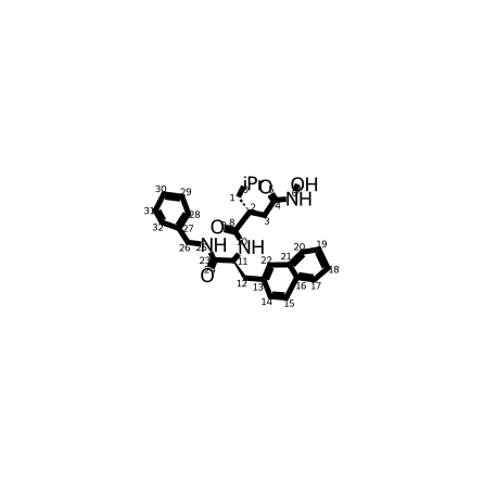 CC(C)C[C@H](CC(=O)NO)C(=O)N[C@@H](Cc1ccc2ccccc2c1)C(=O)NCc1ccccc1